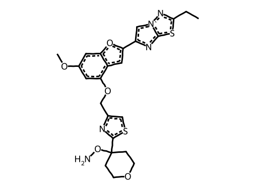 CCc1nn2cc(-c3cc4c(OCc5csc(C6(ON)CCOCC6)n5)cc(OC)cc4o3)nc2s1